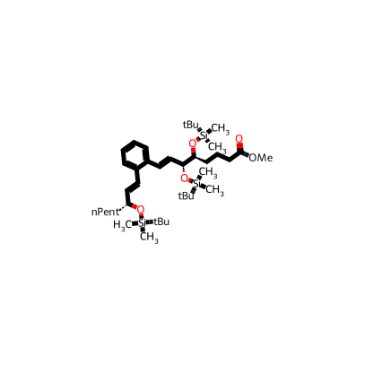 CCCCC[C@H](/C=C/c1ccccc1/C=C/[C@@H](O[Si](C)(C)C(C)(C)C)[C@H](CCCC(=O)OC)O[Si](C)(C)C(C)(C)C)O[Si](C)(C)C(C)(C)C